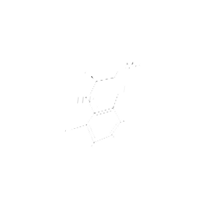 COC[C@H](C)Nc1c(C)cccc1C